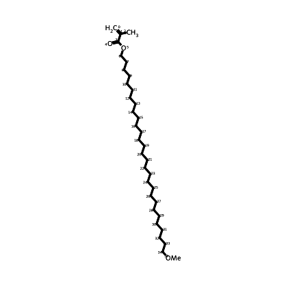 C=C(C)C(=O)OCCCCCCCCCCCCCCCCCCCCCCCCCCCCCOC